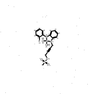 CS(=O)(=O)OCC#CCN1c2ccccc2N(c2ccccc2F)S1(O)O